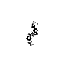 CC(C)C(=O)Oc1ccc2ncc(S(=O)(=O)n3ncc4ncc(-c5cnn(C)c5)cc43)n2c1